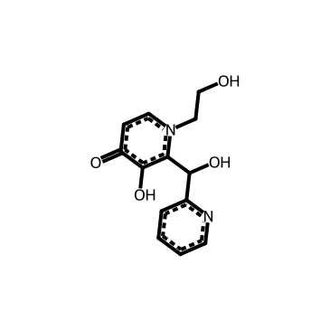 O=c1ccn(CCO)c(C(O)c2ccccn2)c1O